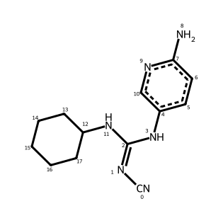 N#C/N=C(\Nc1ccc(N)nc1)NC1CCCCC1